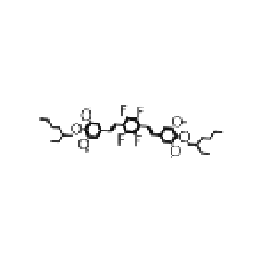 CCCCC(CC)COc1c(OC)cc(/C=C/c2c(F)c(F)c(/C=C/c3cc(OC)c(OCC(CC)CCCC)c(OC)c3)c(F)c2F)cc1OC